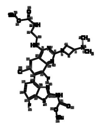 CN(C)C1CN(c2nc(NCCNC(=O)OC(C)(C)C)c3cc(Cl)c(-c4ccc(F)c5sc(NC(=O)OC(C)(C)C)nc45)c(F)c3n2)C1